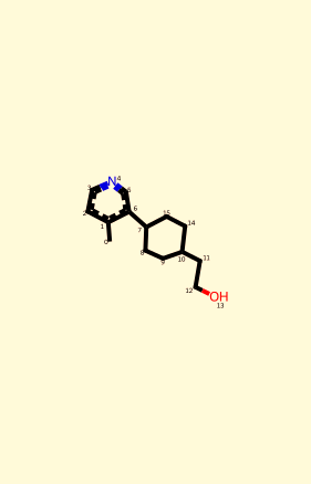 Cc1ccncc1C1CCC(CCO)CC1